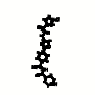 N=C(NC(=O)C1CCNCC1)c1ccc(-c2nc(CNC(=O)c3ccc(Cl)s3)co2)cc1